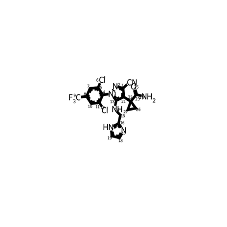 N#Cc1nn(-c2c(Cl)cc(C(F)(F)F)cc2Cl)c(NCc2ncc[nH]2)c1C1(C(N)=O)CC1